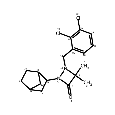 CC1(C)C(=O)N(C2CC3CCC2C3)N1Cc1cccc(Cl)c1Cl